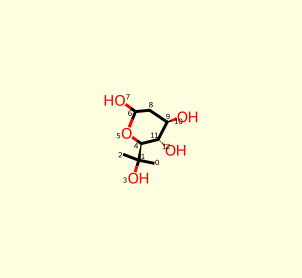 CC(C)(O)[C@H]1OC(O)C[C@@H](O)[C@@H]1O